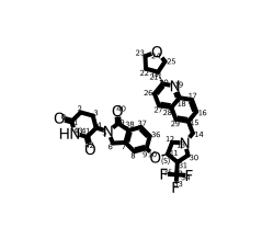 O=C1CCC(N2Cc3cc(O[C@@H]4CN(Cc5ccc6nc([C@@H]7CCOC7)ccc6c5)CC4C(F)(F)F)ccc3C2=O)C(=O)N1